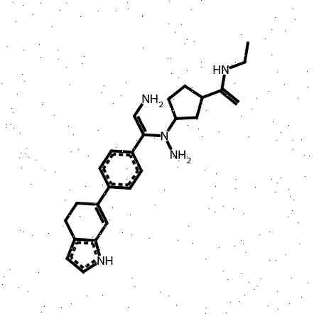 C=C(NCC)C1CCC(N(N)/C(=C\N)c2ccc(C3=Cc4[nH]ccc4CC3)cc2)C1